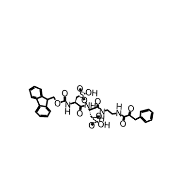 O=C(N[C@@H](CS(=O)(=O)O)C(=O)N[C@@H](CS(=O)(=O)O)C(=O)NCCNC(=O)C(=O)Cc1ccccc1)OCC1c2ccccc2-c2ccccc21